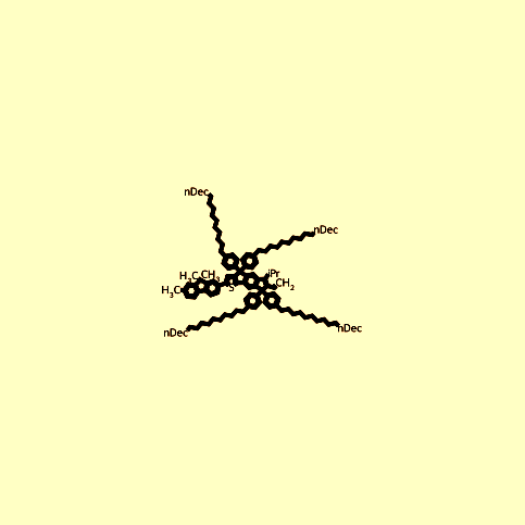 C=CC1=C(C(C)C)c2cc3c(cc2C1(c1ccc(CCCCCCCCCCCCCCCCCCCC)cc1)c1ccc(CCCCCCCCCCCCCCCCCCCC)cc1)-c1sc(-c2ccc4c(c2)C(C)(C)c2cc(C)ccc2-4)cc1C3(c1ccc(CCCCCCCCCCCCCCCCCCCC)cc1)c1ccc(CCCCCCCCCCCCCCCCCCCC)cc1